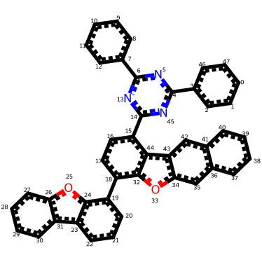 c1ccc(-c2nc(-c3ccccc3)nc(-c3ccc(-c4cccc5c4oc4ccccc45)c4oc5cc6ccccc6cc5c34)n2)cc1